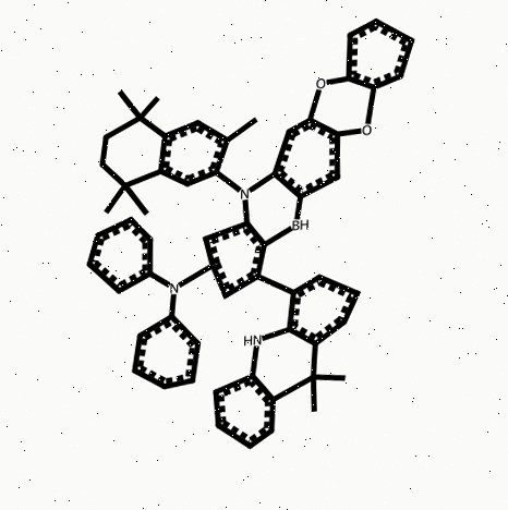 Cc1cc2c(cc1N1c3cc4c(cc3Bc3c(-c5cccc6c5Nc5ccccc5C6(C)C)cc(N(c5ccccc5)c5ccccc5)cc31)Oc1ccccc1O4)C(C)(C)CCC2(C)C